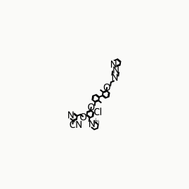 Cc1c(COc2cc(OCc3cncc(C#N)c3)c(CN3CCCC[C@H]3C)cc2Cl)cccc1-c1cccc(OCCCN2CCN(c3ccccn3)CC2)c1C